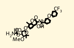 CO[C@@H]1[C@@H](OC(N)=O)[C@@H](O)[C@H](Oc2ccc3c(O)c(NC(=O)c4cccc(Oc5cccc(C(F)(F)F)c5)c4)c(=O)oc3c2C)OC1(C)C